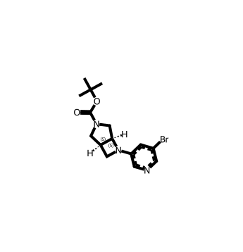 CC(C)(C)OC(=O)N1C[C@@H]2CN(c3cncc(Br)c3)[C@@H]2C1